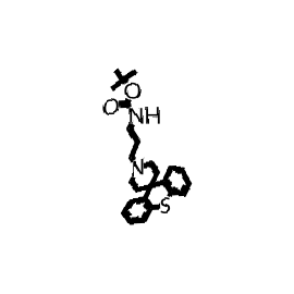 CC(C)(C)OC(=O)NCCCN1CCC2(CC1)c1ccccc1Sc1ccccc12